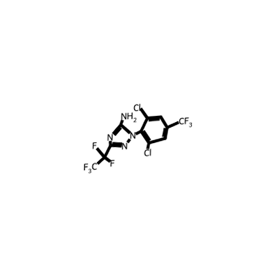 Nc1nc(C(F)(F)C(F)(F)F)nn1-c1c(Cl)cc(C(F)(F)F)cc1Cl